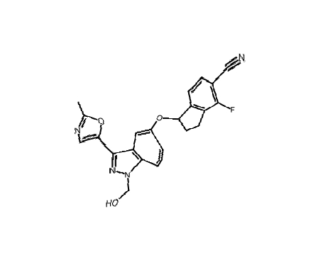 Cc1ncc(-c2nn(CO)c3ccc(OC4CCc5c4ccc(C#N)c5F)cc23)o1